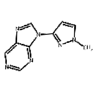 Cn1ccc(-n2cnc3cncnc32)n1